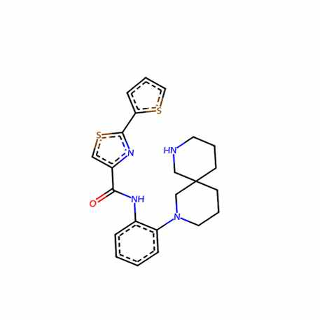 O=C(Nc1ccccc1N1CCCC2(CCCNC2)C1)c1csc(-c2cccs2)n1